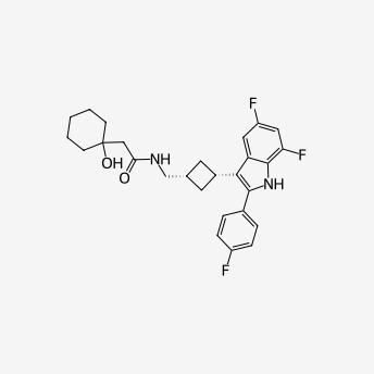 O=C(CC1(O)CCCCC1)NC[C@H]1C[C@@H](c2c(-c3ccc(F)cc3)[nH]c3c(F)cc(F)cc32)C1